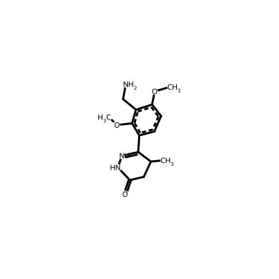 COc1ccc(C2=NNC(=O)CC2C)c(OC)c1CN